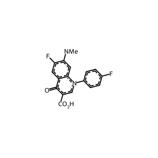 CNc1cc2c(cc1F)c(=O)c(C(=O)O)cn2-c1ccc(F)cc1